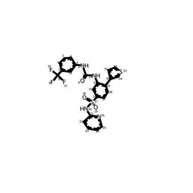 O=C(Nc1cccc(C(F)(F)F)c1)Nc1cc(S(=O)(=O)Nc2ccccn2)ccc1-c1ccsc1